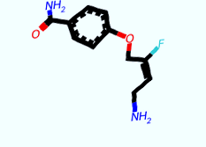 NC/C=C(/F)COc1ccc(C(N)=O)cc1